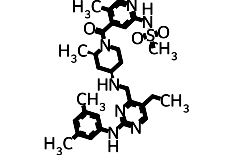 CCc1cnc(Nc2cc(C)cc(C)c2)nc1CN[C@@H]1CCN(C(=O)c2cc(NS(C)(=O)=O)ncc2C)[C@H](C)C1